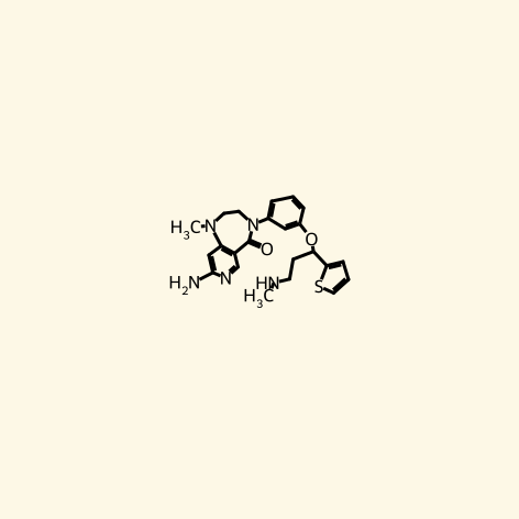 CNCCC(Oc1cccc(N2CCN(C)c3cc(N)ncc3C2=O)c1)c1cccs1